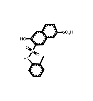 Cc1ccccc1NS(=O)(=O)c1cc2cc(S(=O)(=O)O)ccc2cc1O